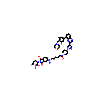 O=C1CCC(N2C(=O)c3ccc(NCCCCCC(=O)N4CCC(n5cc(-c6cnc7cccc(-c8cc(F)c(CN9CCOCC9)c(F)c8)c7n6)cn5)CC4)cc3C2=O)C(=O)N1